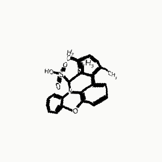 CCC(N1c2ccccc2Oc2cccc(-c3nc(C)ccc3C)c21)S(=O)(=O)O